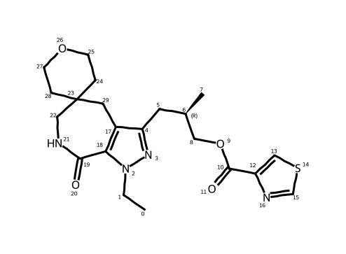 CCn1nc(C[C@@H](C)COC(=O)c2cscn2)c2c1C(=O)NCC1(CCOCC1)C2